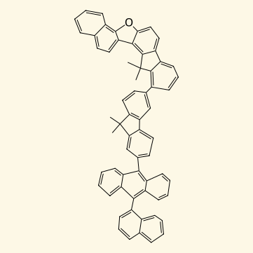 CC1(C)c2ccc(-c3cccc4c3C(C)(C)c3c-4ccc4oc5c6ccccc6ccc5c34)cc2-c2ccc(-c3c4ccccc4c(-c4cccc5ccccc45)c4ccccc34)cc21